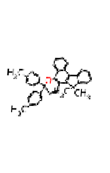 Cc1ccc(C2(c3ccc(C)cc3)C=Cc3c4c(c5ccccc5c3O2)-c2ccccc2C4(C)C)cc1